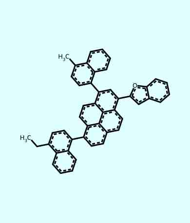 CCc1ccc(-c2ccc3ccc4c(-c5cc6ccccc6o5)cc(-c5ccc(C)c6ccccc56)c5ccc2c3c45)c2ccccc12